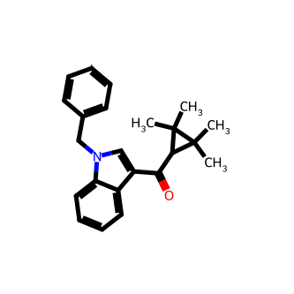 CC1(C)C(C(=O)c2cn(Cc3cc[c]cc3)c3ccccc23)C1(C)C